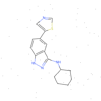 c1ncc(-c2ccc3[nH]nc(NC4CCCCC4)c3c2)s1